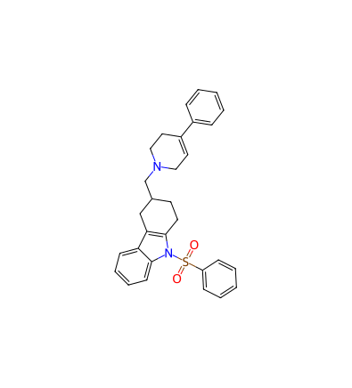 O=S(=O)(c1ccccc1)n1c2c(c3ccccc31)CC(CN1CC=C(c3ccccc3)CC1)CC2